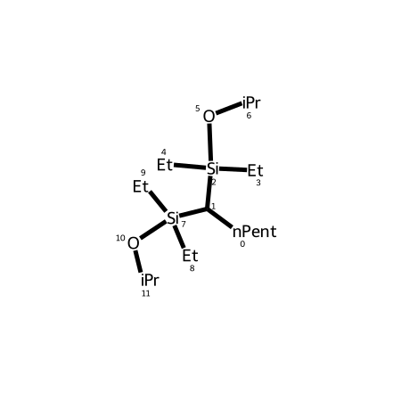 CCCCCC([Si](CC)(CC)OC(C)C)[Si](CC)(CC)OC(C)C